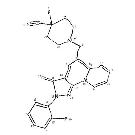 N#CC1(F)CCN(Cc2cc3c(=O)n(-c4ccccc4F)nc-3n3ccccc23)CC1